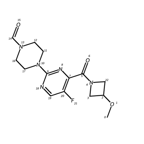 COC1CN(C(=O)c2nc(N3CCN(C=O)CC3)ncc2F)C1